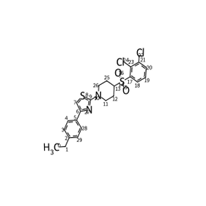 CCc1ccc(-c2csc(N3CCC(S(=O)(=O)c4cccc(Cl)c4Cl)CC3)n2)cc1